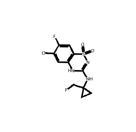 O=S1(=O)N=C(NC2(CF)CC2)Nc2cc(Cl)c(F)cc21